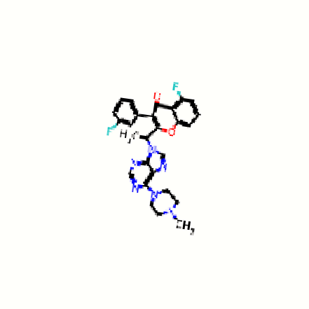 CC(c1oc2cccc(F)c2c(=O)c1-c1cccc(F)c1)n1cnc2c(N3CCN(C)CC3)ncnc21